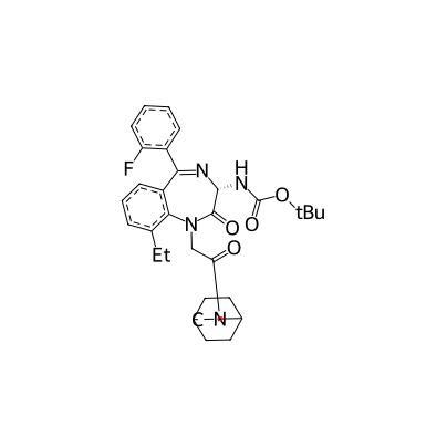 CCc1cccc2c1N(CC(=O)N1CC3CCC(CC3)C1)C(=O)[C@@H](NC(=O)OC(C)(C)C)N=C2c1ccccc1F